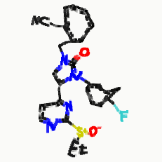 CC[S+]([O-])c1nccc(-c2cn(Cc3ccccc3C#N)c(=O)n2-c2ccc(F)cc2)n1